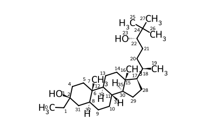 CC[C@]1(O)CC[C@@]2(C)[C@@H](CC[C@@H]3[C@@H]2CC[C@]2(C)[C@@H]([C@H](C)CC[C@H](O)C(C)(C)C)CC[C@@H]32)C1